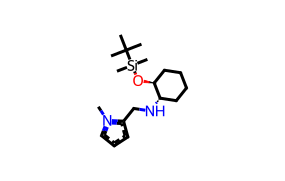 Cn1cccc1CN[C@H]1CCCC[C@@H]1O[Si](C)(C)C(C)(C)C